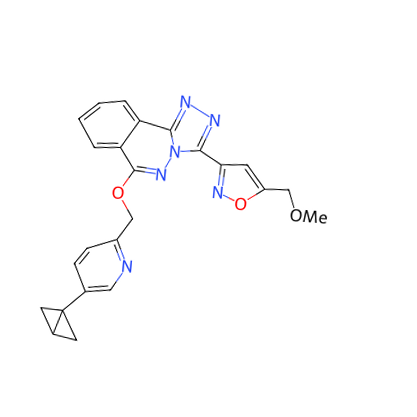 COCc1cc(-c2nnc3c4ccccc4c(OCc4ccc(C56CC5C6)cn4)nn23)no1